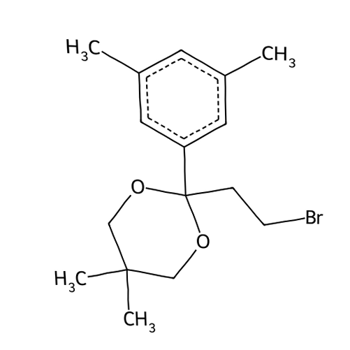 Cc1cc(C)cc(C2(CCBr)OCC(C)(C)CO2)c1